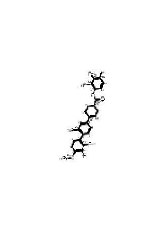 CCCOc1ccc(-c2ccc(C3=CCC(C(=O)Oc4ccc(C)c(F)c4F)CC3)cc2F)c(F)c1F